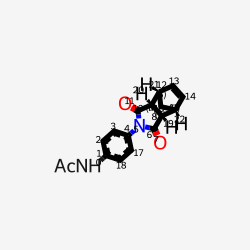 CC(=O)Nc1ccc(N2C(=O)[C@@H]3[C@H](C2=O)[C@@H]2C=C[C@H]3C2)cc1